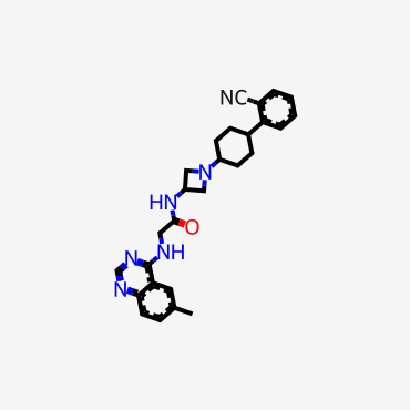 Cc1ccc2ncnc(NCC(=O)NC3CN(C4CCC(c5ccccc5C#N)CC4)C3)c2c1